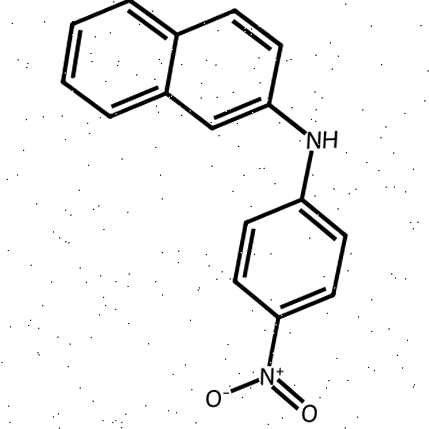 O=[N+]([O-])c1ccc(Nc2ccc3ccccc3c2)cc1